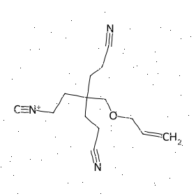 [C-]#[N+]CCC(CCC#N)(CCC#N)COCC=C